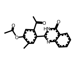 CC(=O)Oc1cc(C(C)=O)c(-c2nc3ccccc3c(=O)[nH]2)cc1C